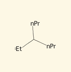 C[C]C(CCC)CCC